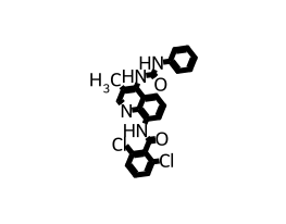 Cc1cnc2c(NC(=O)c3c(Cl)cccc3Cl)cccc2c1NC(=O)Nc1ccccc1